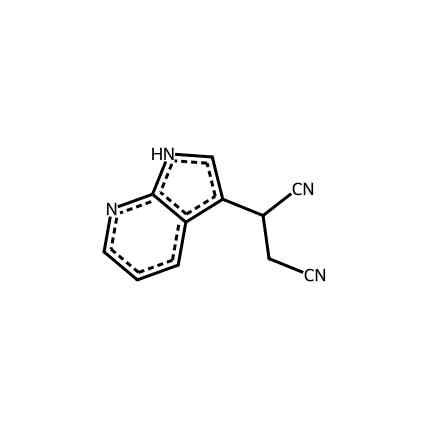 N#CCC(C#N)c1c[nH]c2ncccc12